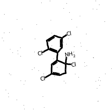 NC1(Cl)CC=C(Cl)C=C1c1cc(Cl)ccc1Cl